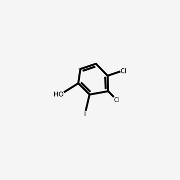 Oc1[c]cc(Cl)c(Cl)c1I